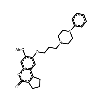 COc1cc2oc(=O)c3c(c2cc1OCCCN1CCN(c2ccccc2)CC1)CCC3